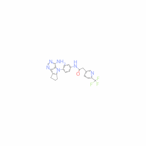 Nc1ncnc2c3c(n(-c4ccc(NC(=O)Cc5ccc(C(F)(F)F)nc5)cc4)c12)CCC3